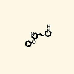 C(=C\[C@@H]1CCCNC1)/c1cncc(Oc2ccccc2)c1